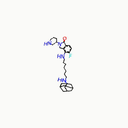 O=C1c2ccc(F)c(NCCCCCCCNC34CC5CC(CC(C5)C3)C4)c2CN1C1CCCNC1